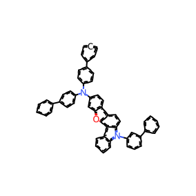 c1ccc(-c2ccc(N(c3ccc(-c4ccccc4)cc3)c3ccc4c(c3)oc3c4ccc4c3c3ccccc3n4-c3cccc(-c4ccccc4)c3)cc2)cc1